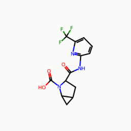 O=C(Nc1cccc(C(F)(F)F)n1)C1CC2CC2N1C(=O)O